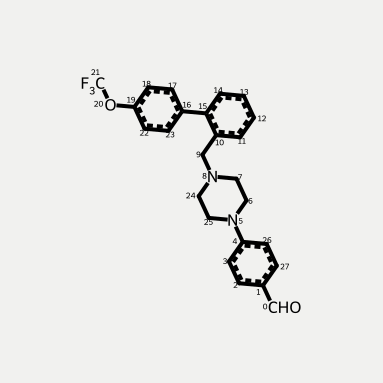 O=Cc1ccc(N2CCN(Cc3ccccc3-c3ccc(OC(F)(F)F)cc3)CC2)cc1